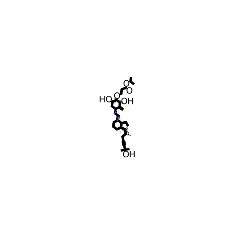 C=C1/C(=C\C=C2/CCC[C@@]3(C)C2CC[C@@H]3[C@H](C)CC#CC(C)(C)O)C[C@@H](O)[C@H](OCCC(=O)OC(C)C)[C@@H]1O